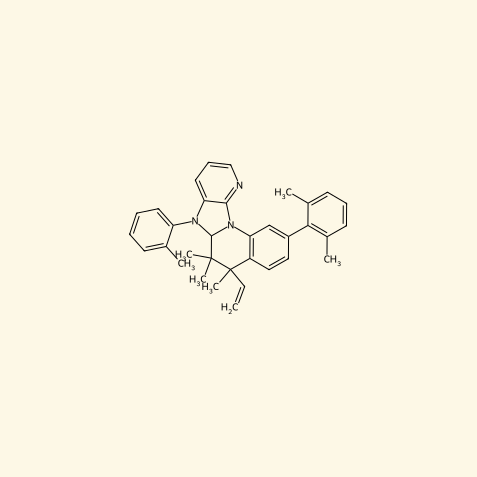 C=CC1(C)c2ccc(-c3c(C)cccc3C)cc2N2c3ncccc3N(c3ccccc3C)C2C1(C)C